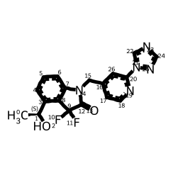 C[C@H](O)c1cccc2c1C(F)(F)C(=O)N2Cc1ccnc(-n2cncn2)c1